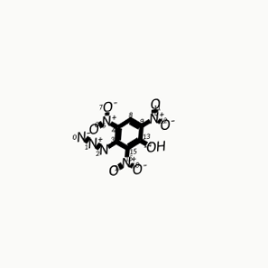 [N-]=[N+]=Nc1c([N+](=O)[O-])cc([N+](=O)[O-])c(O)c1[N+](=O)[O-]